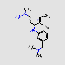 C/C=C(\C)C(CCN(C)N)Nc1cccc(CN(C)C)c1